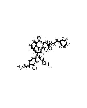 COc1ccc(N(OC)C(=O)Cn2c(=O)n(CC(=O)NCCc3ccccc3)c(=O)c3ccccc32)cc1Cl